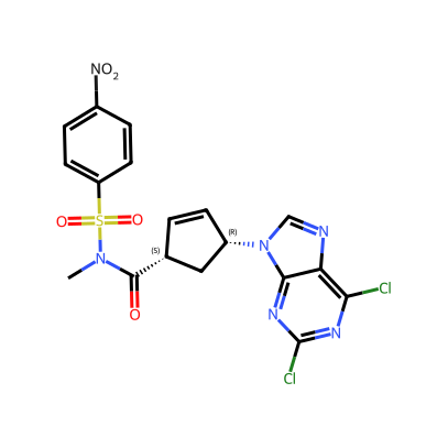 CN(C(=O)[C@@H]1C=C[C@H](n2cnc3c(Cl)nc(Cl)nc32)C1)S(=O)(=O)c1ccc([N+](=O)[O-])cc1